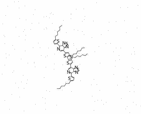 CCCCCCc1ccc(-c2ncc(-c3cc4c(s3)-c3sc(-c5cnc(-c6ccc(CCCCCC)s6)c6nsnc56)cc3[Si]4(CCCCCC)CCCCCC)c3nsnc23)s1